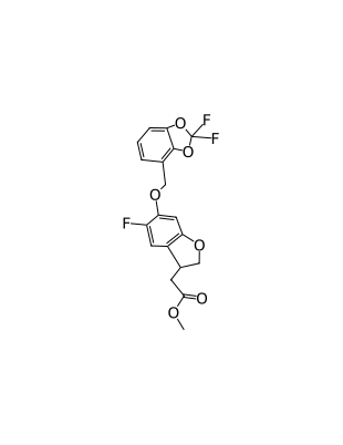 COC(=O)CC1COc2cc(OCc3cccc4c3OC(F)(F)O4)c(F)cc21